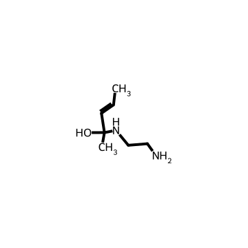 CC=CC(C)(O)NCCN